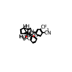 CC12[C@H]3C=C[C@@H]([C@H]3[Si](C)(C)c3ccccc3)[C@@H]1CN(c1ccc(C#N)c(C(F)(F)F)c1)S2(=O)=O